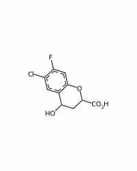 O=C(O)C1CC(O)c2cc(Cl)c(F)cc2O1